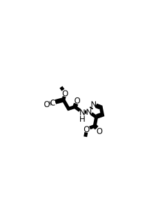 COC(=O)c1ccnn1NC(=O)CC(=C=O)OC